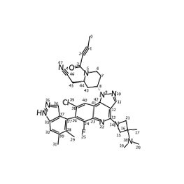 CC#CC(=O)N1CC[C@H](n2ncc3c(N4CC(C)(N(C)C)C4)nc4c(F)c(-c5c(C)c(C)cc6[nH]ncc56)c(Cl)cc4c32)C[C@H]1CC#N